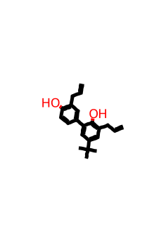 C=CCc1cc(-c2cc(C(C)(C)C)cc(CC=C)c2O)ccc1O